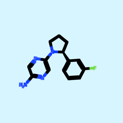 Nc1cnc(N2CCC[C@H]2c2cccc(F)c2)cn1